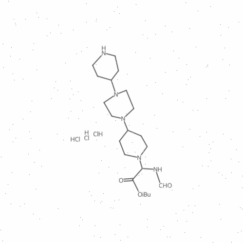 CC(C)COC(=O)C(NC=O)N1CCC(N2CCN(C3CCNCC3)CC2)CC1.Cl.Cl.Cl